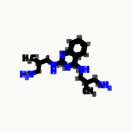 CC(CN)CNc1nc(NCC(C)CN)c2ccccc2n1